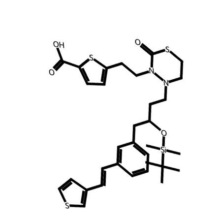 CC(C)(C)[Si](C)(C)OC(CCN1CCSC(=O)N1CCc1ccc(C(=O)O)s1)Cc1cccc(/C=C/c2ccsc2)c1